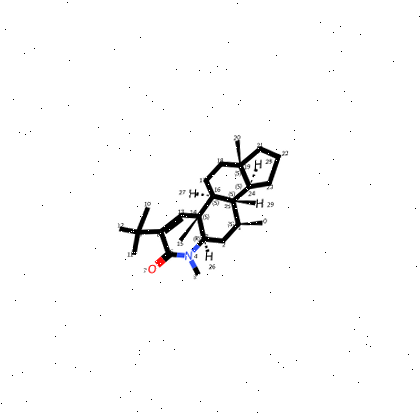 C[C@H]1C[C@H]2N(C)C(=O)C(C(C)(C)C)=C[C@]2(C)[C@H]2CC[C@]3(C)CCC[C@H]3[C@H]12